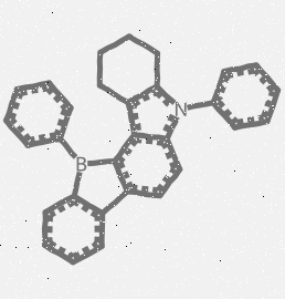 c1ccc(B2c3ccccc3-c3ccc4c(c5c(n4-c4ccccc4)CCCC5)c32)cc1